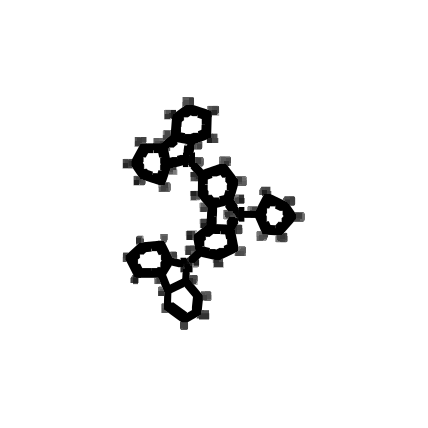 C1=CC2c3ccccc3N(c3ccc4c(c3)c3cc(-n5c6ccccc6c6ccccc65)ccc3n4-c3ccccc3)C2C=C1